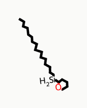 CCCCCCCCCCCCCCCC[SiH2]C1CCCCO1